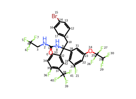 O=C(NCC(F)(F)F)NC(Cc1ccc(Br)cc1)(c1cc(F)cc(OC(F)(F)C(F)F)c1)c1ccc(F)c(C(F)(F)F)c1